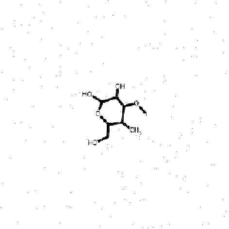 CC1C(CO)OC(O)C(O)C1OI